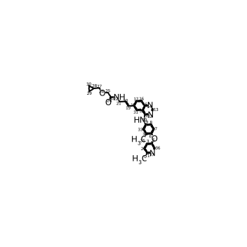 Cc1ccc(Oc2ccc(Nc3ncnc4ccc(C=CCNC(=O)COCC5CC5)cc34)cc2C)cn1